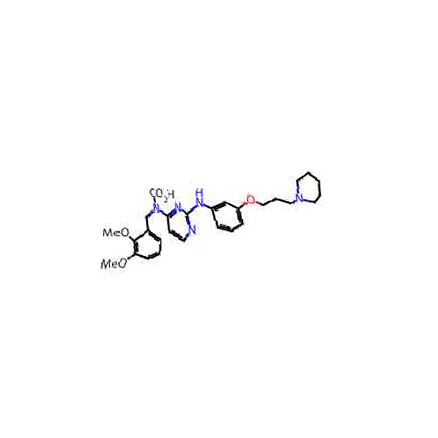 COc1cccc(CN(C(=O)O)c2ccnc(Nc3cccc(OCCCN4CCCCC4)c3)n2)c1OC